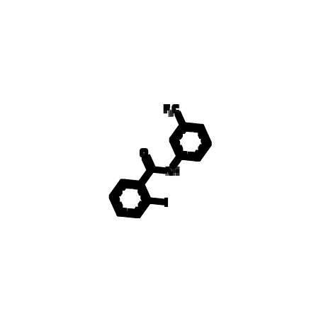 O=C(Nc1cccc(C(F)(F)F)c1)c1ccccc1I